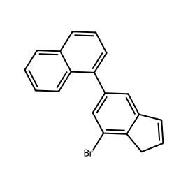 Brc1cc(-c2cccc3ccccc23)cc2c1CC=C2